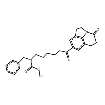 CC(C)(C)OC(=O)N(CCCCCC(=O)c1cc2c3c(c1)CCN3C(=O)CC2)Cc1ccccc1